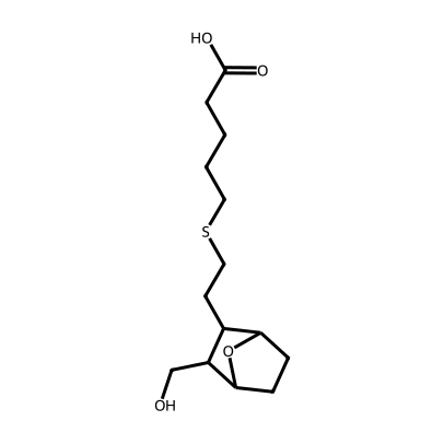 O=C(O)CCCCSCCC1C2CCC(O2)C1CO